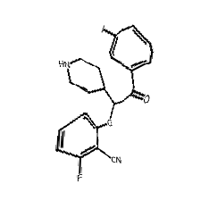 N#Cc1c(F)cccc1OC(C(=O)c1cccc(I)c1)C1CCNCC1